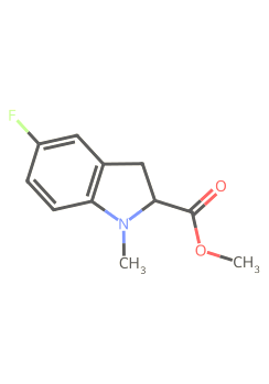 COC(=O)C1Cc2cc(F)ccc2N1C